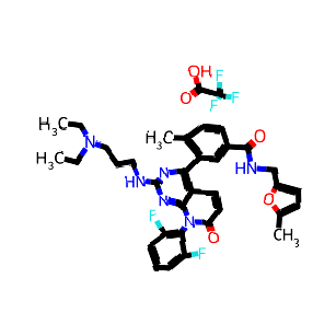 CCN(CC)CCCNc1nc(-c2cc(C(=O)NCc3ccc(C)o3)ccc2C)c2ccc(=O)n(-c3c(F)cccc3F)c2n1.O=C(O)C(F)(F)F